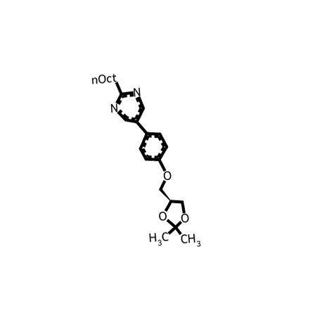 CCCCCCCCc1ncc(-c2ccc(OC[C@H]3COC(C)(C)O3)cc2)cn1